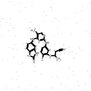 Cc1cnc(Nc2ccc(F)c(OC(C)CC#N)c2)nc1Nc1ccc2oc(=O)[nH]c2c1